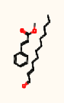 CCCCCCCCC/C=C/C=O.COC(=O)/C=C/c1ccccc1